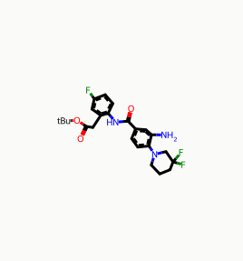 CC(C)(C)OC(=O)Cc1cc(F)ccc1NC(=O)c1ccc(N2CCCC(F)(F)C2)c(N)c1